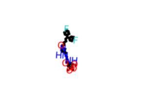 COc1cc(C(=O)NCCNCC2CCN(C(=O)CCCCC(c3ccc(F)cc3)c3ccc(F)cc3)C2)cc(OC)c1OC